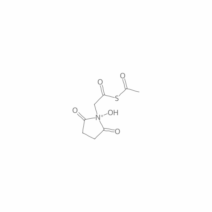 CC(=O)SC(=O)C[N+]1(O)C(=O)CCC1=O